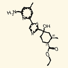 CCOC(=O)[C@H]1CCC(O)(c2ncc(-c3cc(C)cc(N)n3)s2)C[C@H]1C